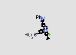 CCn1cc(-c2ccc3c(c2)C[C@H](C)N(c2ccc(C4CC4)c(F)c2)[C@H]3c2ccc(/C=C/C(=O)O)cc2)cn1